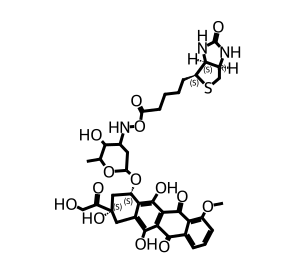 COc1cccc2c1C(=O)c1c(O)c3c(c(O)c1C2=O)C[C@@](O)(C(=O)CO)C[C@@H]3OC1CC(NOC(=O)CCCC[C@@H]2SC[C@@H]3NC(=O)N[C@@H]32)C(O)C(C)O1